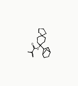 C=C(C)C(=O)OC1(C2CC3CCC2C3)CCC2(CCCC2)CC1